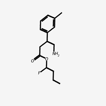 CCCC(F)OC(=O)CC(CN)c1cccc(C)c1